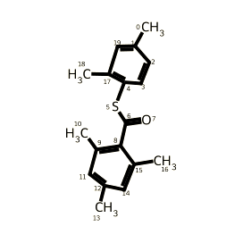 Cc1ccc(SC(=O)c2c(C)cc(C)cc2C)c(C)c1